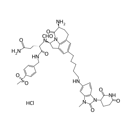 Cl.Cn1c(=O)n(C2CCC(=O)NC2=O)c2ccc(NCCCCCc3cc4c5c(c3)C[C@@H](N(C=O)[C@@H](CCC(N)=O)C(=O)NCc3ccc(S(C)(=O)=O)cc3)N5C(=O)[C@@H](N)CC4)cc21